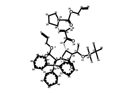 C=CCOC(=O)C(N1C(=O)[C@H]([C@@H](C)O[Si](C)(C)C(C)(C)C)[C@H]1CC(=O)C(C)=C[C@@H]1CCCN1C(=O)OCC=C)=P(c1ccccc1)(c1ccccc1)c1ccccc1